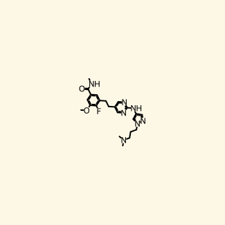 CNC(=O)c1cc(CCc2cnc(Nc3cnn(CCCN(C)C)c3)nc2)c(F)c(OC)c1